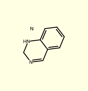 C1=NCNc2ccccc21.[N]